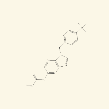 C=CC(=O)Nc1cnc2c(ccn2Cc2ccc(C(F)(F)F)cc2)n1